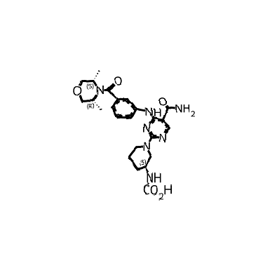 C[C@@H]1COC[C@H](C)N1C(=O)c1cccc(Nc2nc(N3CCC[C@H](NC(=O)O)C3)ncc2C(N)=O)c1